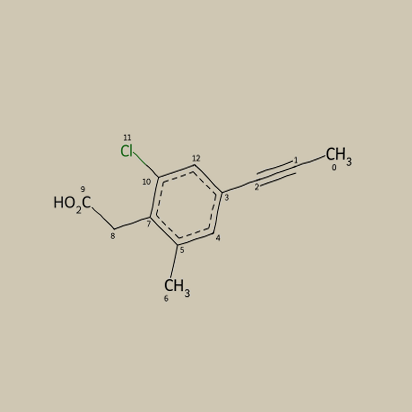 CC#Cc1cc(C)c(CC(=O)O)c(Cl)c1